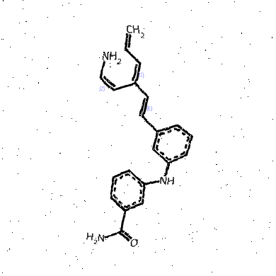 C=C/C=C(\C=C/N)/C=C/c1cccc(Nc2cccc(C(N)=O)c2)c1